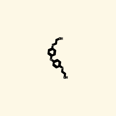 OCCSc1ccc(Oc2ccc(SCCO)cc2)cc1